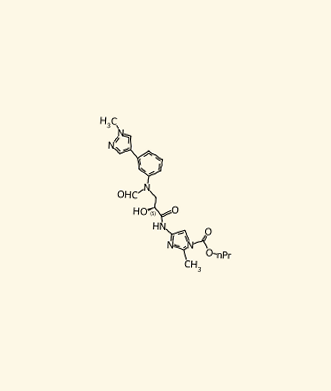 CCCOC(=O)n1cc(NC(=O)[C@@H](O)CN(C=O)c2cccc(-c3cnn(C)c3)c2)nc1C